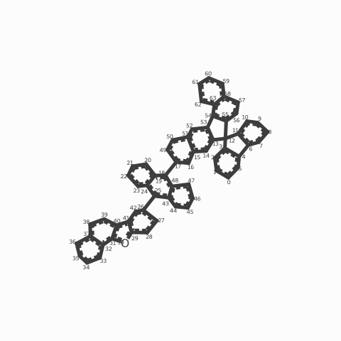 c1ccc2c(c1)-c1ccccc1C21c2cc3cc(-c4c5ccccc5c(-c5ccc6oc7c8ccccc8ccc7c6c5)c5ccccc45)ccc3cc2-c2c1ccc1ccccc21